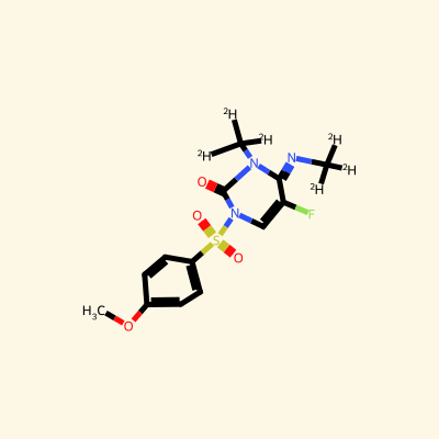 [2H]C([2H])([2H])/N=c1\c(F)cn(S(=O)(=O)c2ccc(OC)cc2)c(=O)n1C([2H])([2H])[2H]